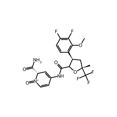 COc1c([C@H]2C[C@](C)(C(F)(F)F)OC2C(=O)NC2=C[C@@H](C(N)=O)[N+](=O)C=C2)ccc(F)c1F